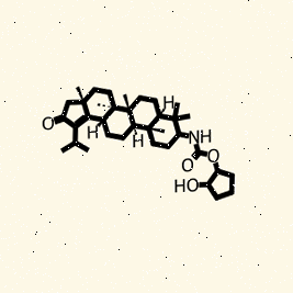 CC(C)C1=C2[C@H]3CC[C@@H]4[C@@]5(C)CCC(NC(=O)OC6CCCC6O)C(C)(C)[C@@H]5CC[C@@]4(C)[C@]3(C)CC[C@@]2(C)CC1=O